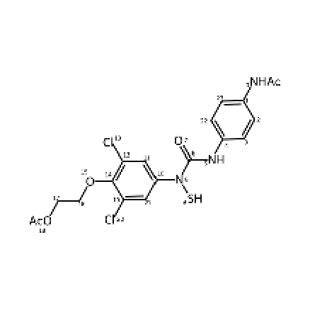 CC(=O)Nc1ccc(NC(=O)N(S)c2cc(Cl)c(OCCOC(C)=O)c(Cl)c2)cc1